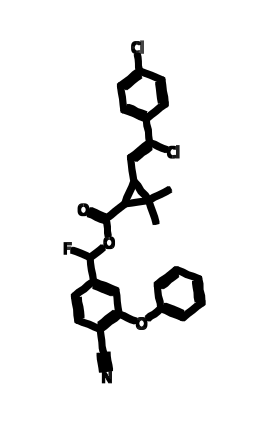 CC1(C)C(C=C(Cl)c2ccc(Cl)cc2)C1C(=O)OC(F)c1ccc(C#N)c(Oc2ccccc2)c1